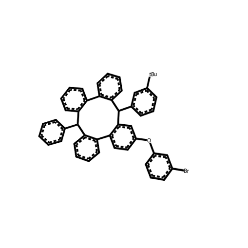 CC(C)(C)c1cccc(C2c3ccccc3-c3ccccc3C(c3ccccc3)c3ccccc3-c3ccc(Oc4cccc(Br)c4)cc32)c1